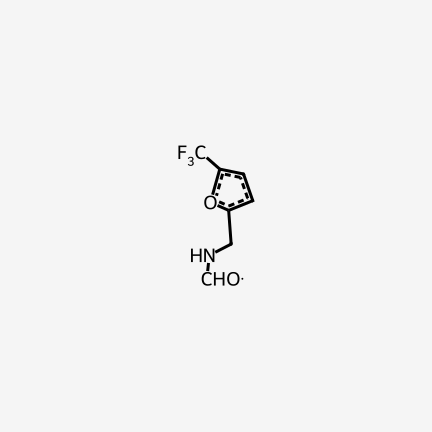 O=[C]NCc1ccc(C(F)(F)F)o1